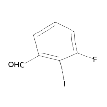 O=Cc1cccc(F)c1I